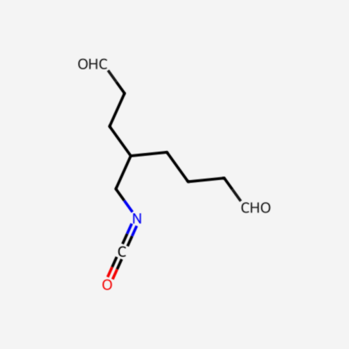 O=C=NCC(CCC=O)CCCC=O